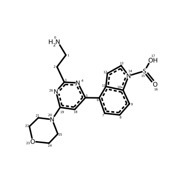 NCCc1nc(-c2cccc3c2ccn3S(=O)O)cc(N2CCOCC2)n1